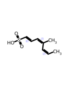 C\C=C/C(C)=C\C=C\S(=O)(=O)O